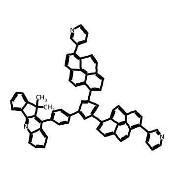 CC1(C)c2ccccc2-c2nc3ccccc3c(-c3ccc(-c4cc(-c5ccc6ccc7c(-c8cccnc8)ccc8ccc5c6c87)cc(-c5ccc6ccc7c(-c8cccnc8)ccc8ccc5c6c87)c4)cc3)c21